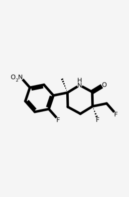 C[C@@]1(c2cc([N+](=O)[O-])ccc2F)CC[C@](F)(CF)C(=O)N1